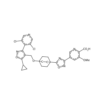 COc1cc(-c2noc(C34CCC(OCc5c(-c6c(Cl)cncc6Cl)noc5C5CC5)(CC3)CC4)n2)cnc1C(=O)O